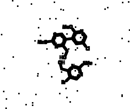 COc1ncc(Cl)cc1-c1cnc(SC)nc1CO.CSc1ncc(Br)c(CO)n1